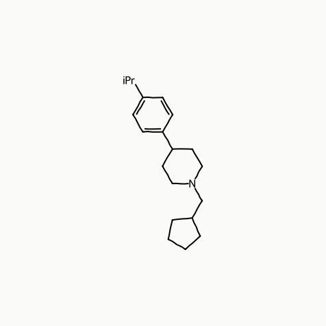 CC(C)c1ccc(C2CCN(CC3CCCC3)CC2)cc1